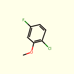 COc1[c]c(F)ccc1Cl